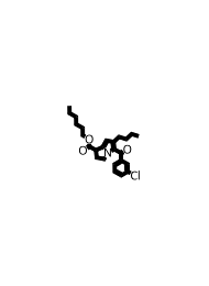 CCCCCCOC(=O)C1CCn2c1cc(CCCC)c2C(=O)c1cccc(Cl)c1